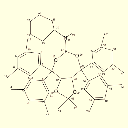 Cc1cc(C)cc(C2(c3cc(C)cc(C)c3)OP(N(C)C3CCCCC3)OC(c3cc(C)cc(C)c3)(c3cc(C)cc(C)c3)C3OC(C)(C)OC32)c1